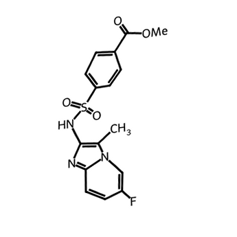 COC(=O)c1ccc(S(=O)(=O)Nc2nc3ccc(F)cn3c2C)cc1